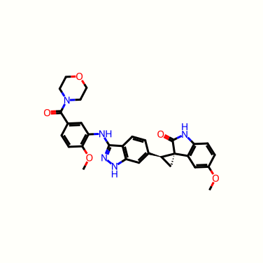 COc1ccc2c(c1)[C@]1(C[C@H]1c1ccc3c(Nc4cc(C(=O)N5CCOCC5)ccc4OC)n[nH]c3c1)C(=O)N2